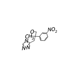 Cn1cnnc1CC1(c2cccc([N+](=O)[O-])c2)COC1